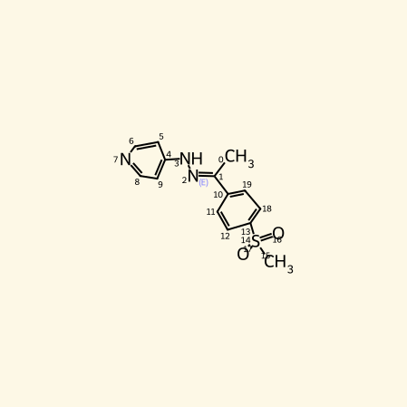 C/C(=N\Nc1ccncc1)c1ccc(S(C)(=O)=O)cc1